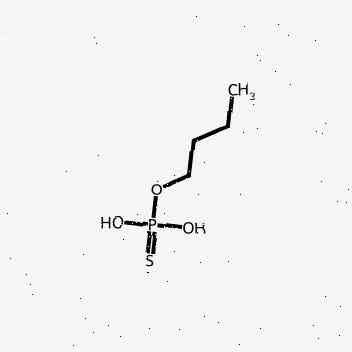 CCCCOP(O)(O)=S